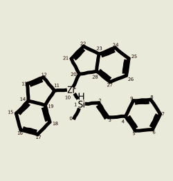 C[SiH](C=Cc1ccccc1)[Zr]([CH]1C=Cc2ccccc21)[CH]1C=Cc2ccccc21